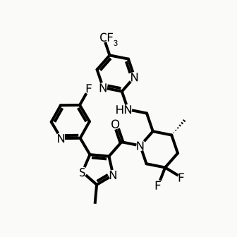 Cc1nc(C(=O)N2CC(F)(F)C[C@@H](C)C2CNc2ncc(C(F)(F)F)cn2)c(-c2cc(F)ccn2)s1